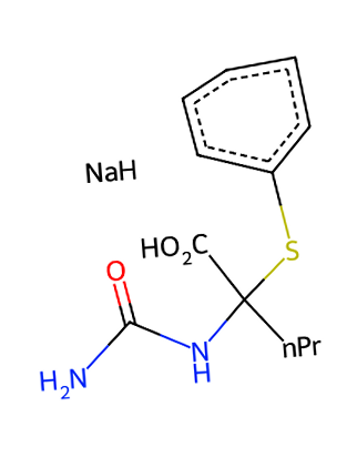 CCCC(NC(N)=O)(Sc1ccccc1)C(=O)O.[NaH]